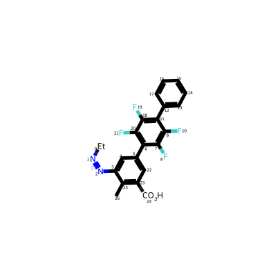 CC/N=N\c1cc(-c2c(F)c(F)c(-c3ccccc3)c(F)c2F)cc(C(=O)O)c1C